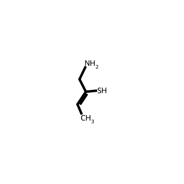 C/C=C(\S)CN